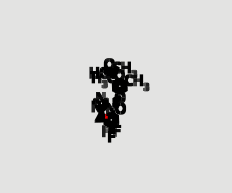 Cc1cc(OCC(=O)N(c2ccc(C(F)(F)F)cc2)c2cncnc2C2CC2)ccc1OC(C)(C)C(=O)O